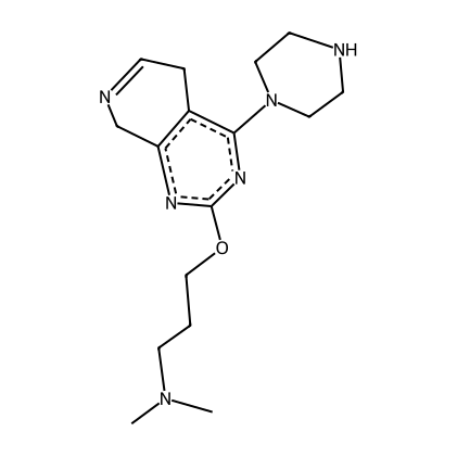 CN(C)CCCOc1nc2c(c(N3CCNCC3)n1)CC=NC2